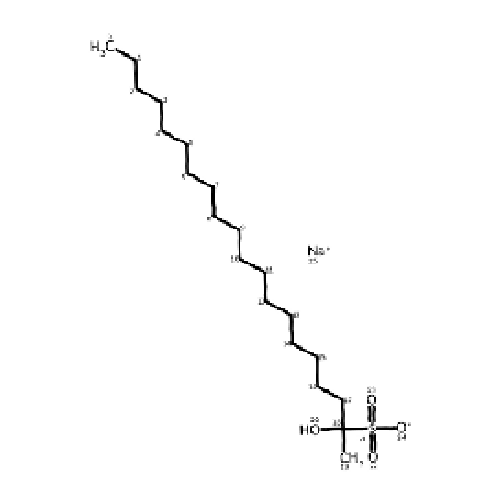 CCCCCCCCCCCCCCCCCCC(C)(O)S(=O)(=O)[O-].[Na+]